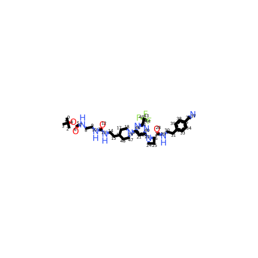 CC(C)(C)OC(=O)NCCNC(=O)NCCC1CCN(c2cc(N3CC[C@H]3C(=O)NCCc3ccc(C#N)cc3)nc(C(F)(F)F)n2)CC1